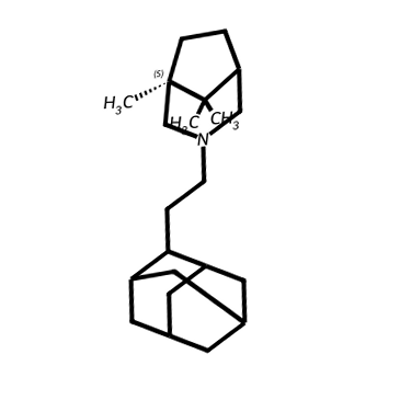 CC1(C)C2CC[C@]1(C)CN(CCC1C3CC4CC(C3)CC1C4)C2